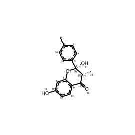 Cc1ccc([C@]2(O)Oc3cc(O)ccc3C(=O)[C@H]2C)cc1